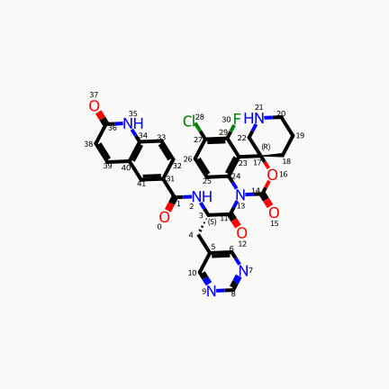 O=C(N[C@@H](Cc1cncnc1)C(=O)N1C(=O)O[C@]2(CCCNC2)c2c1ccc(Cl)c2F)c1ccc2[nH]c(=O)ccc2c1